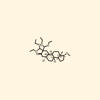 CCOC(OCC)C1(C(OCC)OCC)C[C@@]2(C)[C@@H](CC[C@@H]3[C@@H]2CC[C@]2(C)[C@@H](OC)CC[C@@H]32)CC1=O